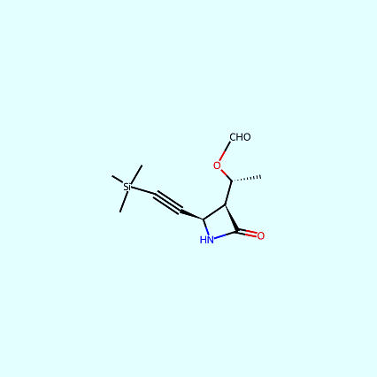 C[C@@H](OC=O)[C@H]1C(=O)N[C@H]1C#C[Si](C)(C)C